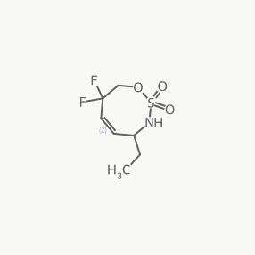 CCC1/C=C\C(F)(F)COS(=O)(=O)N1